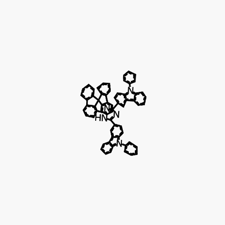 c1ccc(-n2c3ccccc3c3cc(C4=NC(c5cccc6c5C5(c7ccccc7-c7ccccc75)c5ccccc5-6)NC(c5ccc6c(c5)c5ccccc5n6-c5ccccc5)=N4)ccc32)cc1